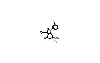 CC1(C)CC(=O)c2c(C3CC3)nn(-c3cccc(Cl)c3)c2C1